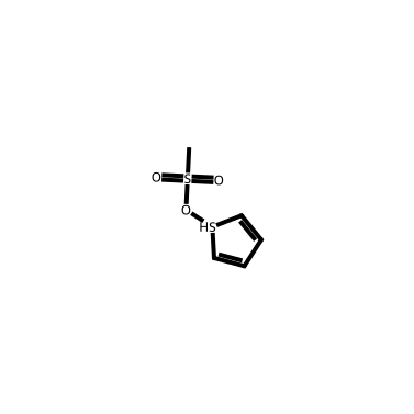 CS(=O)(=O)O[SH]1C=CC=C1